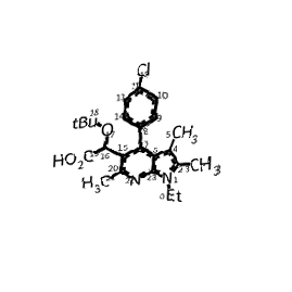 CCn1c(C)c(C)c2c(-c3ccc(Cl)cc3)c(C(OC(C)(C)C)C(=O)O)c(C)nc21